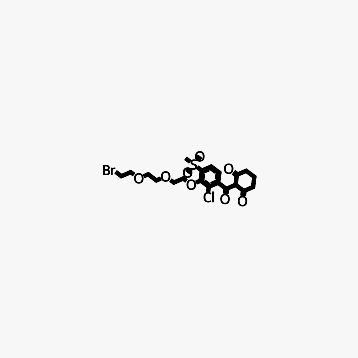 CS(=O)(=O)c1ccc(C(=O)C2C(=O)CCCC2=O)c(Cl)c1OCCOCCOCCBr